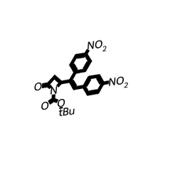 CC(C)(C)OC(=O)N1C(=O)CC1C(=Cc1ccc([N+](=O)[O-])cc1)c1ccc([N+](=O)[O-])cc1